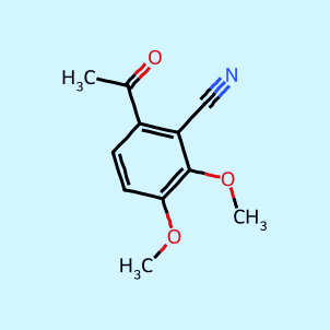 COc1ccc(C(C)=O)c(C#N)c1OC